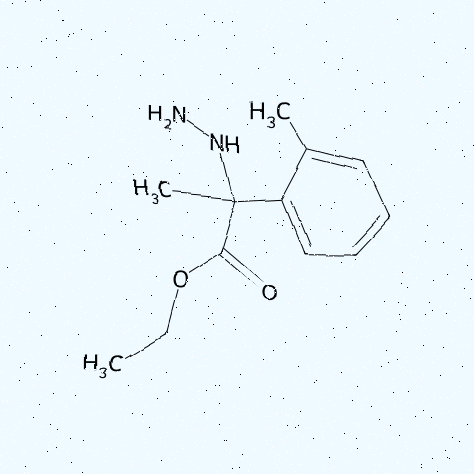 CCOC(=O)C(C)(NN)c1ccccc1C